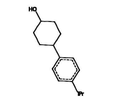 CC(C)c1ccc(C2CCC(O)CC2)cc1